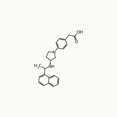 CC(N[C@H]1CCN(c2ccc(CC(=O)O)cc2)C1)c1cccc2ccccc12